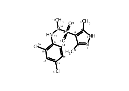 Cc1n[nH]c(C)c1S(=O)(=O)N(C)Nc1ccc(Cl)cc1Cl